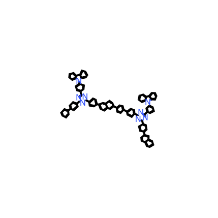 c1ccc(-c2ccc(-c3nc(-c4ccc(-c5ccc6cc(-c7ccc(-c8ccc(-c9nc(-c%10ccc(-c%11ccc%12ccccc%12c%11)cc%10)nc(-c%10cccc(-n%11c%12ccccc%12c%12ccccc%12%11)c%10)n9)cc8)cc7)ccc6c5)cc4)nc(-c4ccc(-n5c6ccccc6c6ccccc65)cc4)n3)cc2)cc1